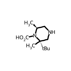 C[C@H]1CNC[C@](C)(C(C)(C)C)N1C(=O)O